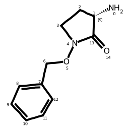 N[C@H]1CCN(OCc2ccccc2)C1=O